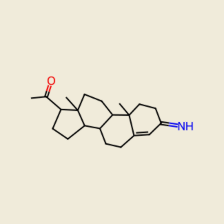 CC(=O)C1CCC2C3CCC4=CC(=N)CCC4(C)C3CCC12C